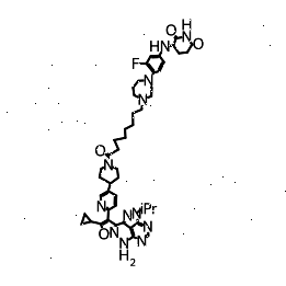 CC(C)n1nc(-c2noc(C3CC3)c2-c2ccc(C3CCN(C(=O)CCCCCCCN4CCCN(c5ccc(NC6CCC(=O)NC6=O)cc5F)CC4)CC3)cn2)c2c(N)ncnc21